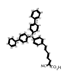 N#C\C(=C/C=C/C=C/c1ccc(N(c2ccc(-c3ccccc3)cc2)c2ccc(-c3ccccc3)cc2)cc1)C(=O)O